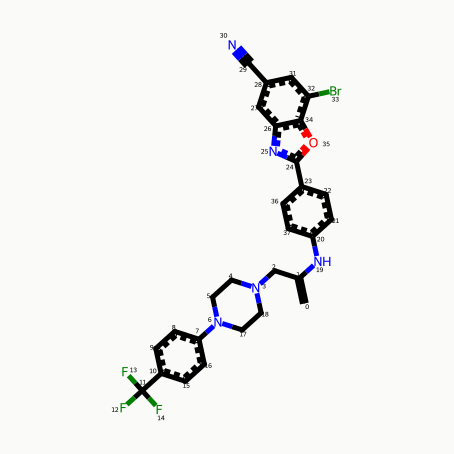 C=C(CN1CCN(c2ccc(C(F)(F)F)cc2)CC1)Nc1ccc(-c2nc3cc(C#N)cc(Br)c3o2)cc1